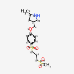 C[C@@H]1C[C@H](COc2ccc(S(=O)(=O)CCCS(C)(=O)=O)cc2)CN1